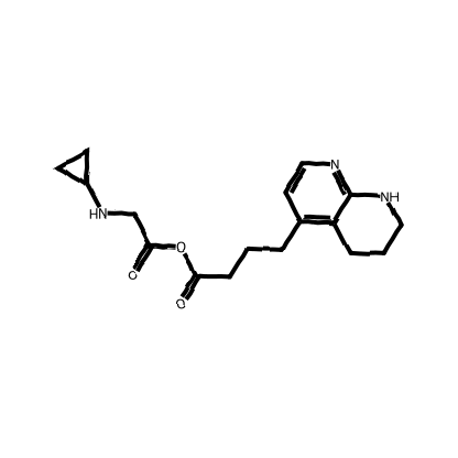 O=C(CCCc1ccnc2c1CCCN2)OC(=O)CNC1CC1